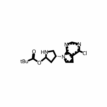 CC(C)(C)C(=O)OC1C[C@@H](n2ccc3c(Cl)ncnc32)CN1